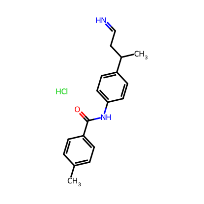 Cc1ccc(C(=O)Nc2ccc(C(C)CC=N)cc2)cc1.Cl